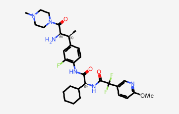 COc1ccc(C(F)(F)C(=O)N[C@H](C(=O)Nc2ccc([C@H](C)[C@@H](N)C(=O)N3CCN(C)CC3)cc2F)C2CCCCC2)cn1